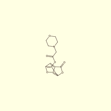 O=C(CN1CCOCC1)Oc1c2c3oc1cc3C(=O)O2